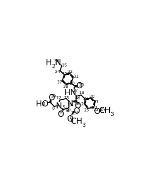 COC(=O)[C@@H]1C(=O)N(CC(=O)O)CCN1C(=O)[C@H](Cc1ccc(OC)cc1)NC(=O)c1ccc(CCN)cc1